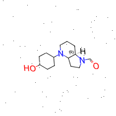 O=CN1CCC2[C@H]1CCCN2C1CCC(O)CC1